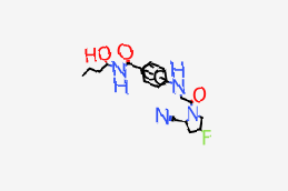 CCCC(O)NC(=O)C12CCC(NCC(=O)N3C[C@@H](F)C[C@H]3C#N)(CC1)CC2